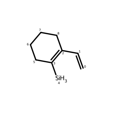 C=CC1=C([SiH3])CCCC1